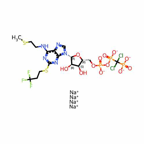 CSCCNc1nc(SCCC(F)(F)F)nc2c1ncn2[C@@H]1O[C@H](COP(=O)([O-])OP(=O)([O-])C(Cl)(Cl)P(=O)([O-])[O-])[C@@H](O)[C@H]1O.[Na+].[Na+].[Na+].[Na+]